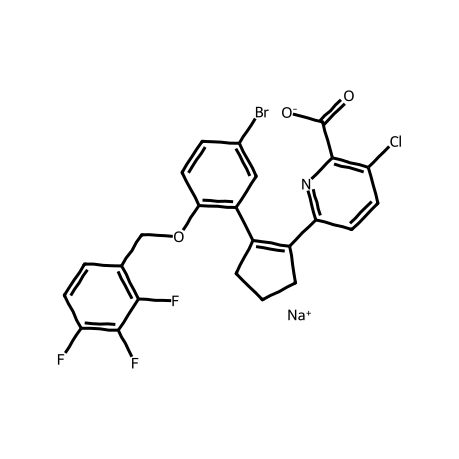 O=C([O-])c1nc(C2=C(c3cc(Br)ccc3OCc3ccc(F)c(F)c3F)CCC2)ccc1Cl.[Na+]